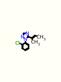 C/C=C(\C)c1ncnn1-c1ccccc1Cl